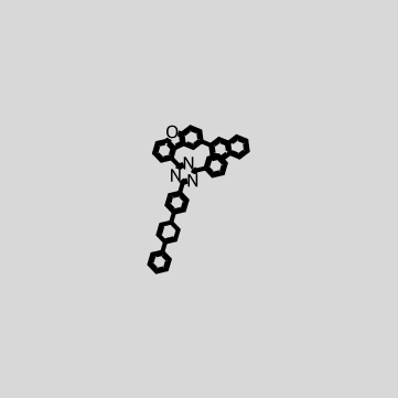 C1=CC(c2ccc(-c3nc(-c4ccccc4)nc(-c4cccc5oc6ccc(-c7ccc8ccccc8c7)cc6c45)n3)cc2)CC=C1c1ccccc1